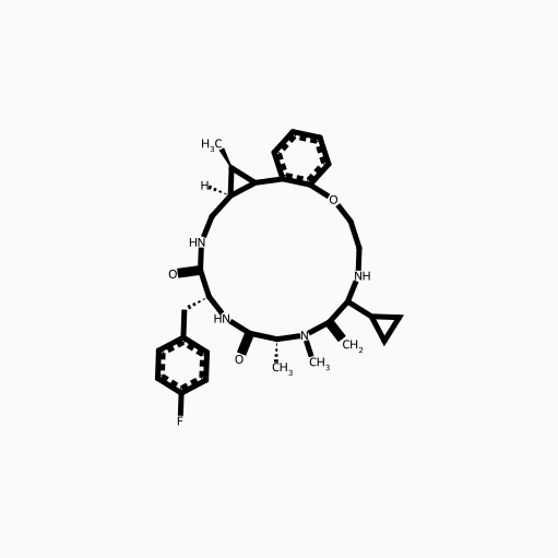 C=C1C(C2CC2)NCCOc2ccccc2C2[C@@H](CNC(=O)[C@@H](Cc3ccc(F)cc3)NC(=O)[C@@H](C)N1C)[C@H]2C